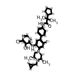 C[C@H]1CN(c2cc(F)c(-c3ccc(NC(=O)C(C)(C)C4CCCC4)cc3)cc2Nc2ncnc(Cl)c2O)C[C@H](C)N1CC1CC1